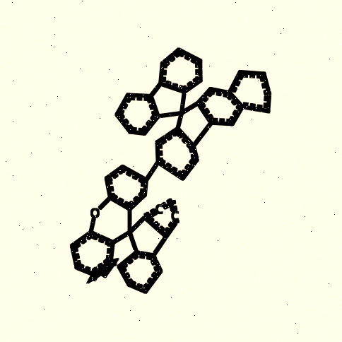 c1ccc2c(c1)-c1ccccc1C21c2cc(-c3ccc4c(c3)C3(c5ccccc5-c5ccccc53)c3c(ccc5ccccc35)O4)ccc2-c2cc3ccccc3cc21